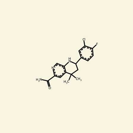 CC1(C)CC(c2ccc(F)c(Cl)c2)Nc2cnc(C(N)=O)cc21